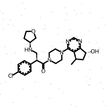 CC1C[C@@H](O)c2ncnc(N3CCN(C(=O)[C@H](CN[C@H]4CCOC4)c4ccc(Cl)cc4)CC3)c21